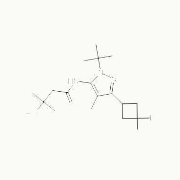 Cc1c(C2CC(F)(F)C2)nn(C(C)(C)C)c1NC(=O)CC(C)(C)O